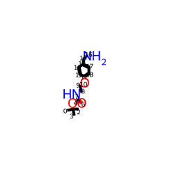 CC(C)(C)OC(=O)NCCOc1ccc(CN)cc1